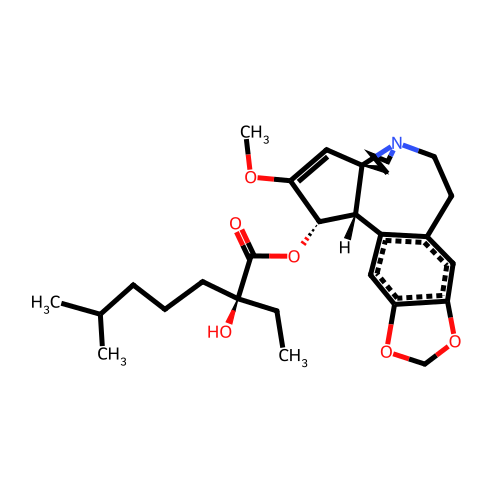 CC[C@](O)(CCCC(C)C)C(=O)O[C@@H]1C(OC)=C[C@]23CCCN2CCc2cc4c(cc2[C@H]13)OCO4